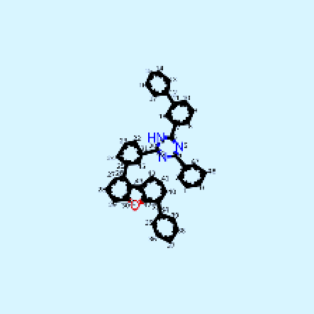 c1ccc(C2=NC(c3cccc(-c4ccccc4)c3)NC(c3cccc(-c4cccc5oc6c(-c7ccccc7)cccc6c45)c3)=N2)cc1